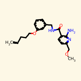 C=CCCCOc1cccc(CNC(=O)c2ccc(COC)nc2N)c1